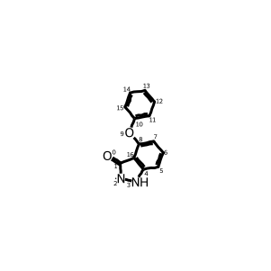 O=C1[N]Nc2cccc(Oc3ccccc3)c21